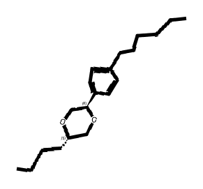 CCCCCCc1ccc([C@@H]2CO[C@@H](CCCC)CO2)cc1